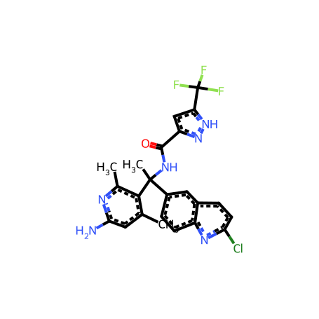 Cc1cc(N)nc(C)c1C(C)(NC(=O)c1cc(C(F)(F)F)[nH]n1)c1ccc2nc(Cl)ccc2c1